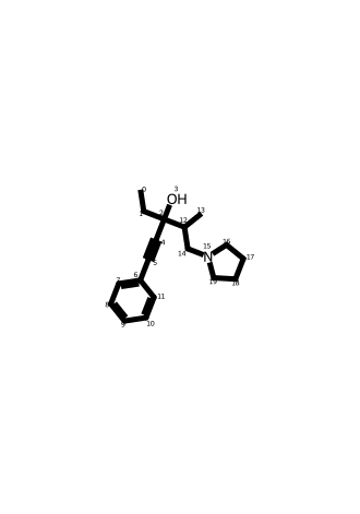 CCC(O)(C#Cc1ccccc1)C(C)CN1CCCC1